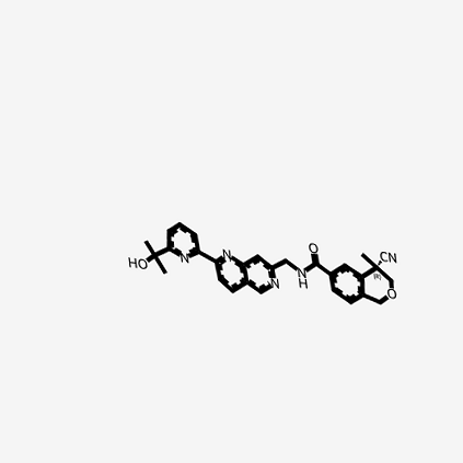 CC(C)(O)c1cccc(-c2ccc3cnc(CNC(=O)c4ccc5c(c4)[C@](C)(C#N)COC5)cc3n2)n1